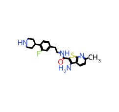 Cc1ccc2c(N)c(C(=O)NCCc3ccc(C4CCNCC4)c(F)c3)sc2n1